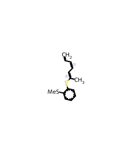 C=C/C=C\C=C(/C)Sc1ccccc1SC